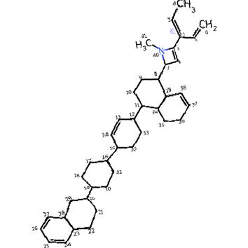 C=C/C(=C\C)C1=CC(C2CCC(C3C=CC(C4CCC(C5CCC6C=CC=CC6C5)CC4)CC3)C3CCC=CC32)N1C